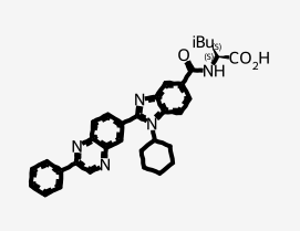 CC[C@H](C)[C@H](NC(=O)c1ccc2c(c1)nc(-c1ccc3nc(-c4ccccc4)cnc3c1)n2C1CCCCC1)C(=O)O